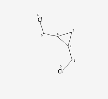 ClCC1CC1CCl